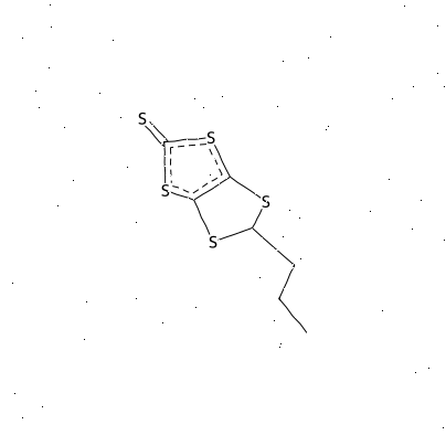 CCCC1Sc2sc(=S)sc2S1